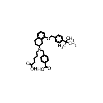 CC(C)(C)c1ccc(COc2cccc3c2CC(N(CCCCC(=O)O)Cc2ccc(C(=O)O)cc2)CC3)cc1